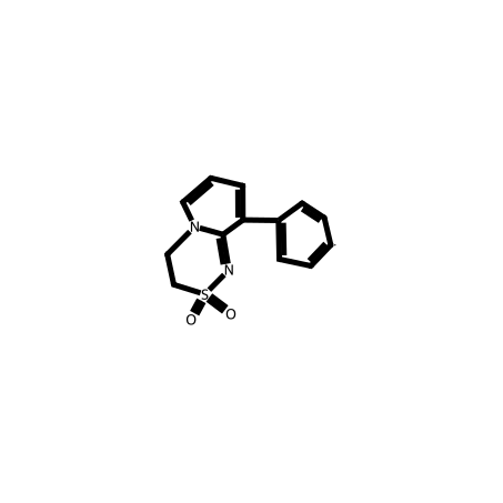 O=S1(=O)CCN2C=CC=C(c3cc[c]cc3)C2=N1